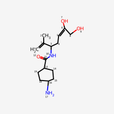 C=C(C)C(C/C=C(/O)CO)NC(=O)C1CCC(N)CC1